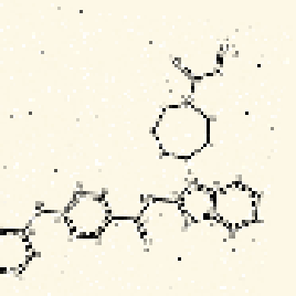 C=CC(=O)N1CCC[C@@H](n2c(NC(=O)c3ccc(Oc4ccccc4)nc3)nc3ccccc32)CC1